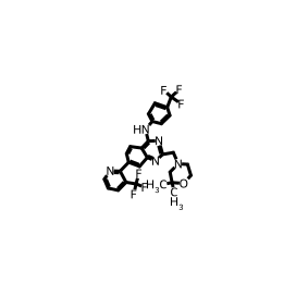 CC1(C)CN(Cc2nc(Nc3ccc(C(F)(F)F)cc3)c3ccc(-c4ncccc4C(F)(F)F)cc3n2)CCO1